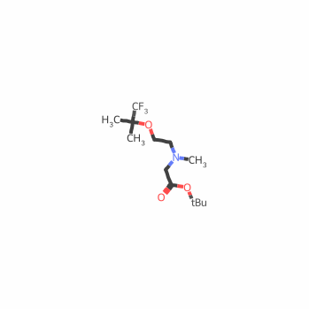 CN(CCOC(C)(C)C(F)(F)F)CC(=O)OC(C)(C)C